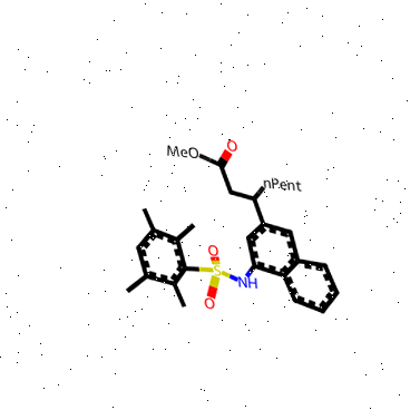 CCCCCC(CC(=O)OC)c1cc(NS(=O)(=O)c2c(C)c(C)cc(C)c2C)c2ccccc2c1